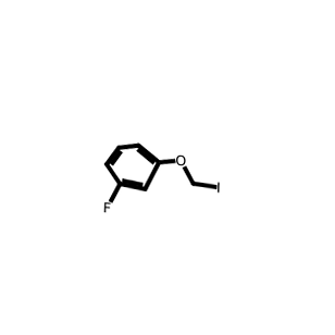 Fc1cccc(OCI)c1